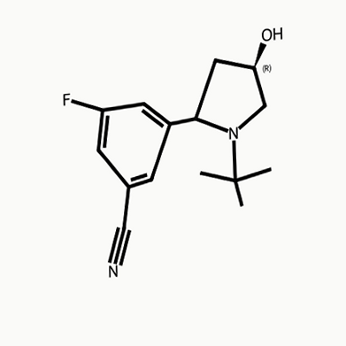 CC(C)(C)N1C[C@H](O)CC1c1cc(F)cc(C#N)c1